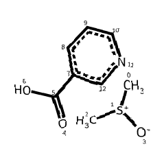 C[S+](C)[O-].O=C(O)c1cccnc1